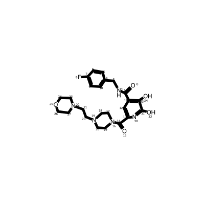 O=C(NCc1ccc(F)cc1)c1cc(C(=O)N2CCN(CCN3CCOCC3)CC2)nc(O)c1O